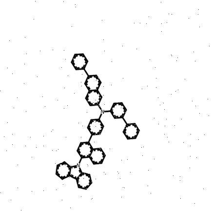 c1ccc(-c2cccc(N(c3ccc(-c4ccc(-n5c6ccccc6c6ccccc65)c5ccccc45)cc3)c3ccc4cc(-c5ccccc5)ccc4c3)c2)cc1